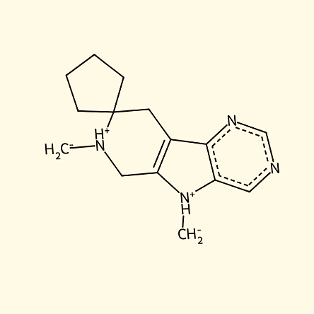 [CH2-][NH+]1C2=C(CC3(CCCC3)[NH+]([CH2-])C2)c2ncncc21